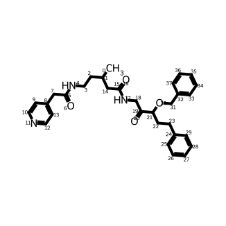 CC(CCNC(=O)Cc1ccncc1)CC(=O)NCC(=O)C(CCc1ccccc1)OCc1ccccc1